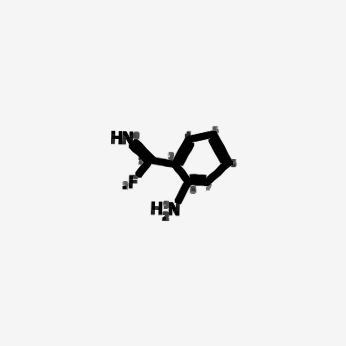 N=C(F)c1ccccc1N